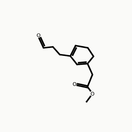 COC(=O)CC1=CC(CCC=O)=CCC1